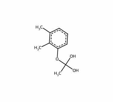 Cc1cccc(OC(C)(O)O)c1C